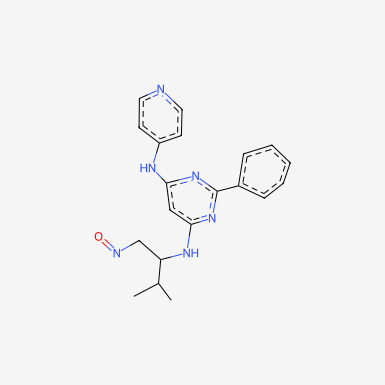 CC(C)C(CN=O)Nc1cc(Nc2ccncc2)nc(-c2ccccc2)n1